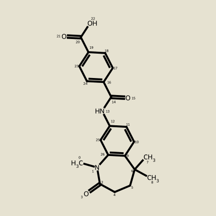 CN1C(=O)CCC(C)(C)c2ccc(NC(=O)c3ccc(C(=O)O)cc3)cc21